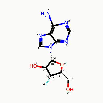 Nc1ncnc2c1ncn2[C@@H]1O[C@H](CO)[C@H](F)C1O